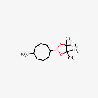 CC1(C)OB(C2CCCC(C(=O)O)CCC2)OC1(C)C